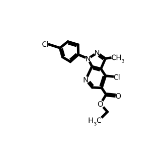 CCOC(=O)c1cnc2c(c(C)nn2-c2ccc(Cl)cc2)c1Cl